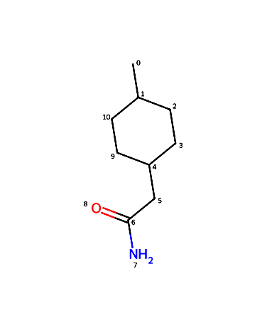 CC1CCC(CC(N)=O)CC1